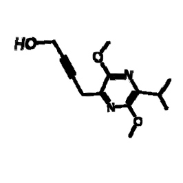 COc1nc(C(C)C)c(OC)nc1CC#CCO